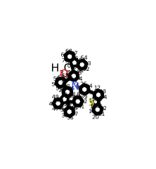 CC1(c2ccc(N(c3ccc(-c4cccc5c4sc4ccccc45)cc3)c3ccc4c(c3)C(c3ccccc3)(c3ccccc3)c3ccccc3-4)c3c2oc2ccccc23)c2ccccc2-c2ccccc21